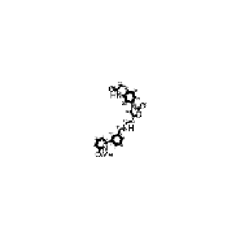 COc1cccc(-c2cccc(CNCC[C@@H]3CN(c4ccc5c(c4)NC(=O)CS5)C(=O)O3)c2)n1